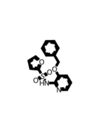 O=S(=O)(Nc1ncccc1OCc1ccccc1)c1ccco1